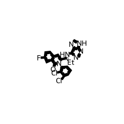 CC[C@@H](Nc1ncnc2[nH]cnc12)c1cc2ccc(F)cc2c(=O)n1-c1cccc(Cl)c1Cl